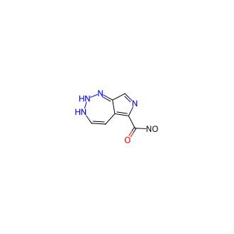 O=NC(=O)C1=C2C=CNNN=C2C=N1